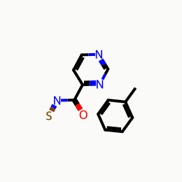 Cc1ccccc1.O=C(N=S)c1ccncn1